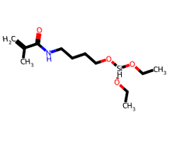 C=C(C)C(=O)NCCCCO[SiH](OCC)OCC